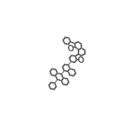 c1ccc(-c2c3ccccc3c(-c3ccc(-c4ccc5c(c4)oc4ccc6ccc7c8ccccc8oc7c6c45)c4ccccc34)c3ccccc23)cc1